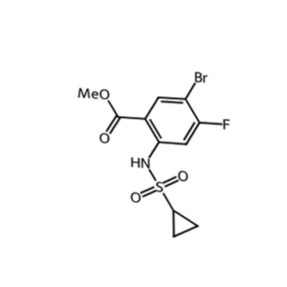 COC(=O)c1cc(Br)c(F)cc1NS(=O)(=O)C1CC1